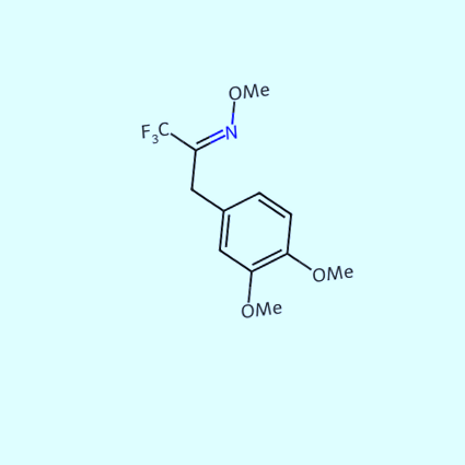 CON=C(Cc1ccc(OC)c(OC)c1)C(F)(F)F